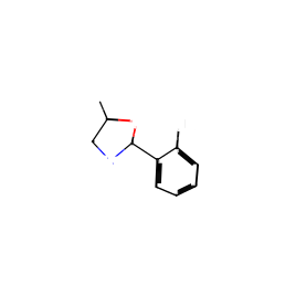 CCC1CNC(c2ccccc2C(F)(F)F)O1